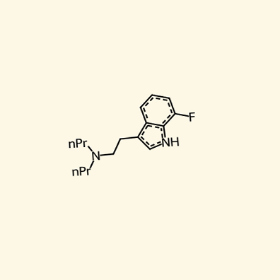 CCCN(CCC)CCc1c[nH]c2c(F)cccc12